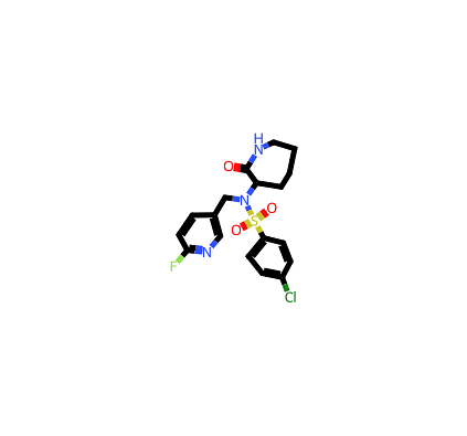 O=C1NCCCCC1N(Cc1ccc(F)nc1)S(=O)(=O)c1ccc(Cl)cc1